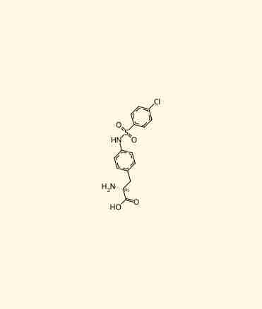 N[C@H](Cc1ccc(NS(=O)(=O)c2ccc(Cl)cc2)cc1)C(=O)O